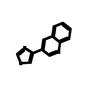 c1ccc2ncc(-c3cocn3)cc2c1